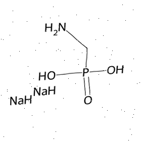 NCP(=O)(O)O.[NaH].[NaH]